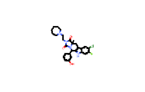 CC12Cc3c([nH]c4cc(F)c(Cl)cc34)C(c3cccc(O)c3)N1C(=O)N(CCN1CCCCCC1)C2=O